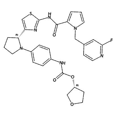 O=C(Nc1ccc(N2CCC[C@@H]2c2csc(NC(=O)c3cccn3Cc3ccnc(F)c3)n2)cc1)O[C@@H]1CCOC1